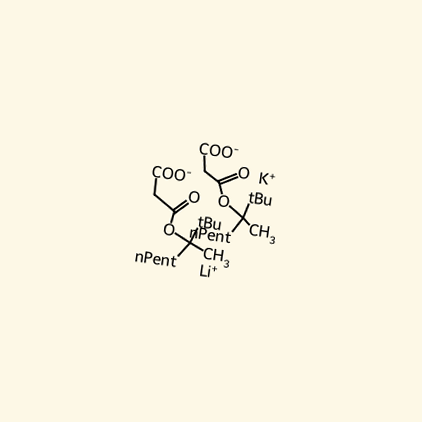 CCCCCC(C)(OC(=O)CC(=O)[O-])C(C)(C)C.CCCCCC(C)(OC(=O)CC(=O)[O-])C(C)(C)C.[K+].[Li+]